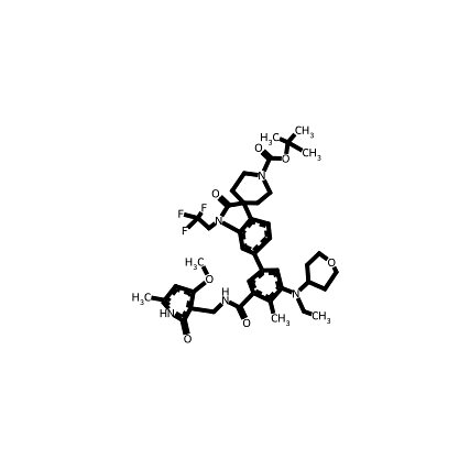 CCN(c1cc(-c2ccc3c(c2)N(CC(F)(F)F)C(=O)C32CCN(C(=O)OC(C)(C)C)CC2)cc(C(=O)NCc2c(OC)cc(C)[nH]c2=O)c1C)C1CCOCC1